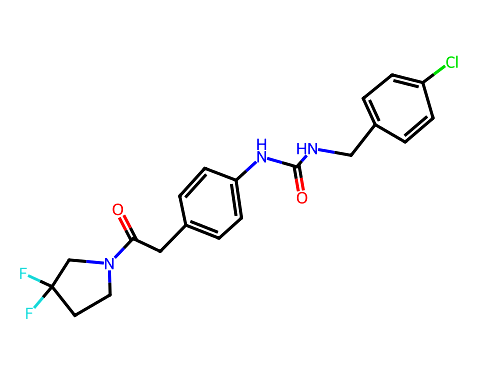 O=C(NCc1ccc(Cl)cc1)Nc1ccc(CC(=O)N2CCC(F)(F)C2)cc1